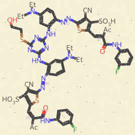 CCN(CC)c1ccc(/N=N/c2sc(/C=C(/C(C)=O)C(=O)Nc3cccc(F)c3)c(S(=O)(=O)O)c2C#N)c(Nc2nc(Nc3cc(N(CC)CC)ccc3/N=N/c3sc(/C=C(\C(C)=O)C(=O)Nc4cccc(F)c4)c(S(=O)(=O)O)c3C#N)nc(SCCO)n2)c1